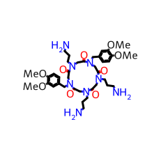 COc1ccc(CN2CC(=O)N(CCCN)CC(=O)N(CCCN)CC(=O)N(Cc3ccc(OC)c(OC)c3)CC(=O)N(CCCN)CC2=O)cc1OC